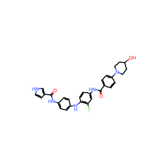 O=C(Nc1ccc(Nc2ccc(NC(=O)c3cc[nH]c3)cc2)c(F)c1)c1ccc(N2CCC(O)CC2)cc1